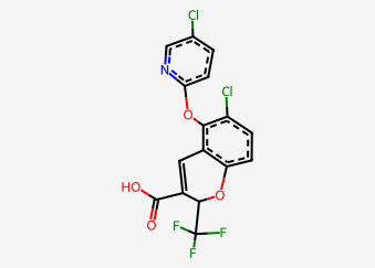 O=C(O)C1=Cc2c(ccc(Cl)c2Oc2ccc(Cl)cn2)OC1C(F)(F)F